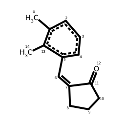 Cc1cccc(C=C2CCCC2=O)c1C